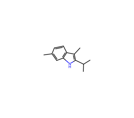 Cc1ccc2c(C)c(C(C)C)[nH]c2c1